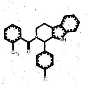 Cc1ccccc1C(=O)N1CCc2c([nH]c3ccccc23)C1c1ccc(Cl)cc1